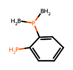 BP(B)c1ccccc1P